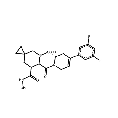 O=C(NO)C1CC2(CC2)CN(C(=O)O)C1C(=O)N1CC=C(c2cc(F)cc(F)c2)CC1